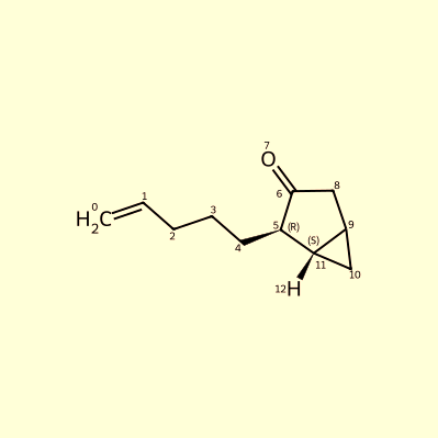 C=CCCC[C@H]1C(=O)CC2C[C@@H]21